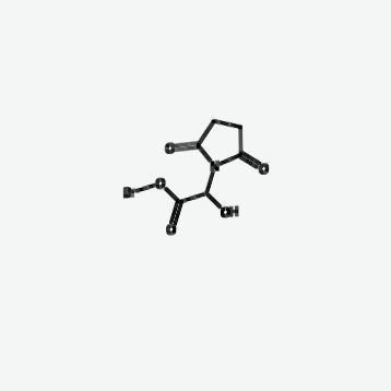 O=C(OBr)C(O)N1C(=O)CCC1=O